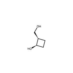 OC[C@H]1CC[C@H]1O